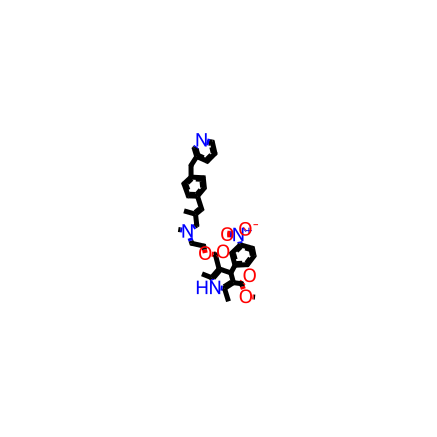 COC(=O)C1=C(C)NC(C)=C(C(=O)OCCN(C)C/C(C)=C/c2ccc(Cc3cccnc3)cc2)C1c1cccc([N+](=O)[O-])c1